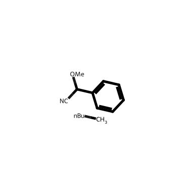 CCCCC.COC(C#N)c1ccccc1